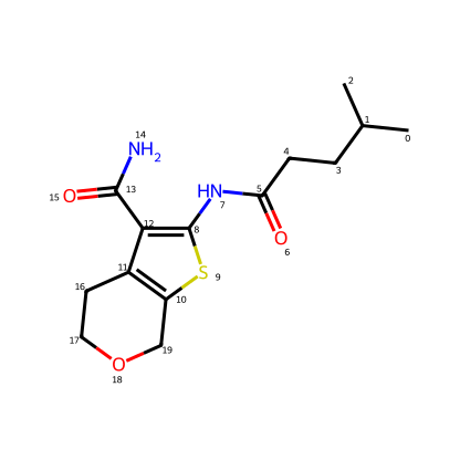 CC(C)CCC(=O)Nc1sc2c(c1C(N)=O)CCOC2